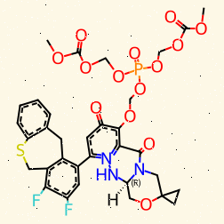 COC(=O)OCOP(=O)(OCOC(=O)OC)OCOc1c2n(c(-c3cc(F)c(F)c4c3Cc3ccccc3SC4)cc1=O)N[C@@H]1COC3(CC3)CN1C2=O